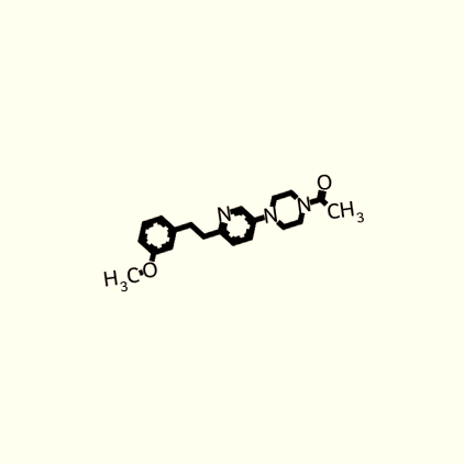 COc1cccc(CCc2ccc(N3CCN(C(C)=O)CC3)cn2)c1